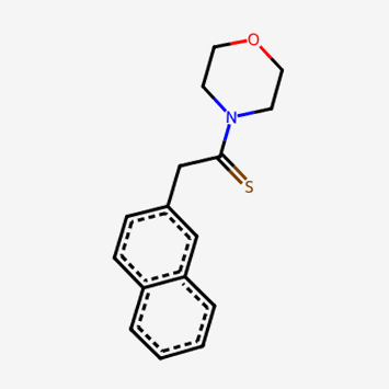 S=C(Cc1ccc2ccccc2c1)N1CCOCC1